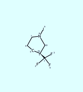 FC(F)(F)[C@H]1CCCN(I)C1